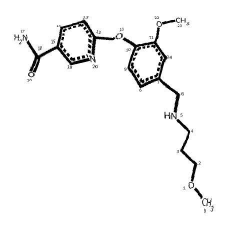 COCCCNCc1ccc(Oc2ccc(C(N)=O)cn2)c(OC)c1